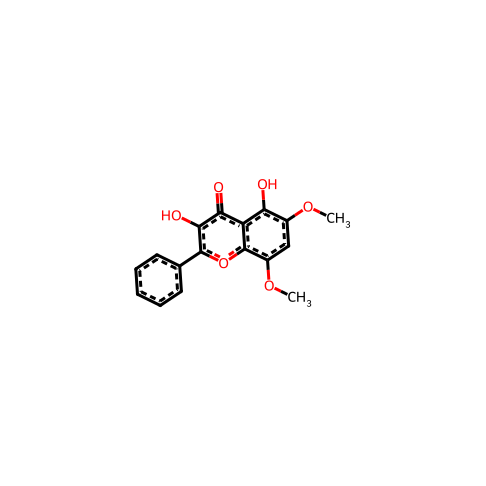 COc1cc(OC)c2oc(-c3ccccc3)c(O)c(=O)c2c1O